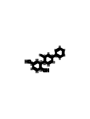 Cc1cc(-c2ccccc2)ccc1-c1cc(O)ccc1O